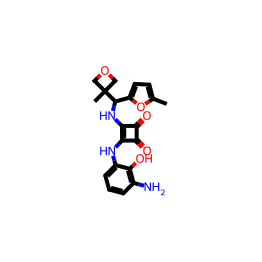 Cc1ccc(C(Nc2c(Nc3cccc(N)c3O)c(=O)c2=O)C2(C)COC2)o1